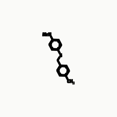 CNc1ccc(SCc2ccc(C)cc2)cc1